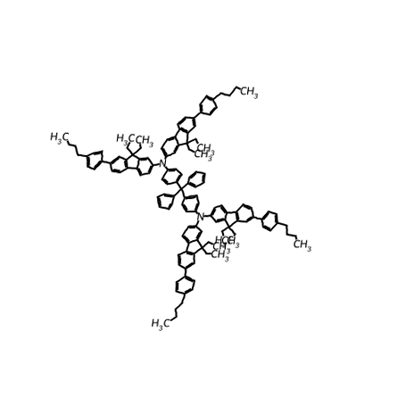 CCCCc1ccc(-c2ccc3c(c2)C(CC)(CC)c2cc(N(c4ccc(C(c5ccccc5)(c5ccccc5)c5ccc(N(c6ccc7c(c6)C(CC)(CC)c6cc(-c8ccc(CCCC)cc8)ccc6-7)c6ccc7c(c6)C(CC)(CC)c6cc(-c8ccc(CCCC)cc8)ccc6-7)cc5)cc4)c4ccc5c(c4)C(CC)(CC)c4cc(-c6ccc(CCCC)cc6)ccc4-5)ccc2-3)cc1